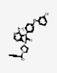 CC#CC(=O)N1CC[C@@H](n2c(=O)n(-c3ccc(Oc4cccc(Cl)c4)cc3)c3c(N)ncnc32)C1